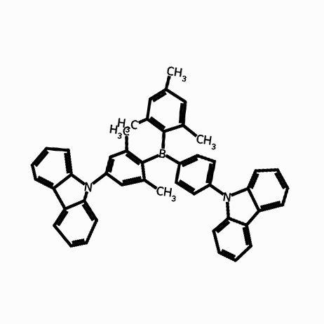 Cc1cc(C)c(B(c2ccc(-n3c4ccccc4c4ccccc43)cc2)c2c(C)cc(-n3c4ccccc4c4ccccc43)cc2C)c(C)c1